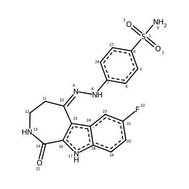 NS(=O)(=O)c1ccc(N/N=C2/CCNC(=O)c3[nH]c4ccc(F)cc4c32)cc1